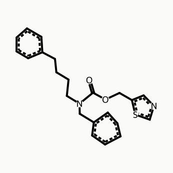 O=C(OCc1cncs1)N(CCCCc1ccccc1)Cc1ccccc1